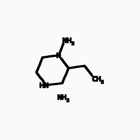 CCC1CNCCN1N.N